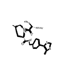 CC(=O)N[C@H](C(=O)N1C[C@H](C)C[C@H]1C(=O)NCc1ccc(-c2scnc2C)cc1)C(C)(C)C